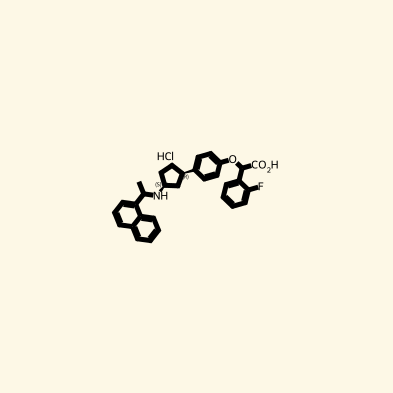 CC(N[C@H]1CC[C@@H](c2ccc(OC(C(=O)O)c3ccccc3F)cc2)C1)c1cccc2ccccc12.Cl